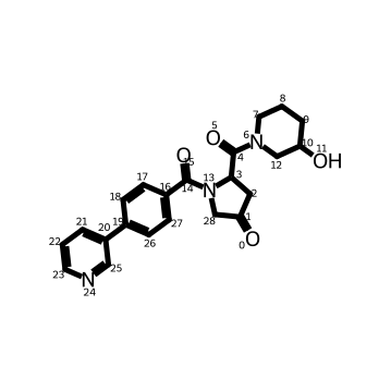 O=C1CC(C(=O)N2CCCC(O)C2)N(C(=O)c2ccc(-c3cccnc3)cc2)C1